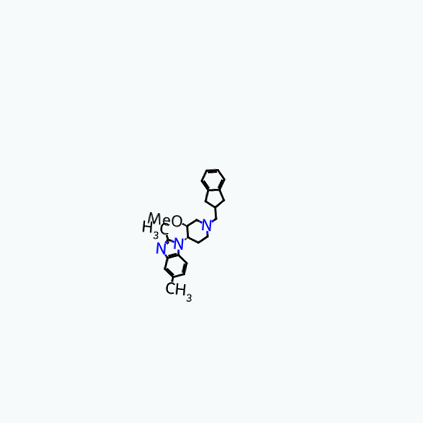 CO[C@H]1CN(CC2Cc3ccccc3C2)CC[C@@H]1n1c(C)nc2cc(C)ccc21